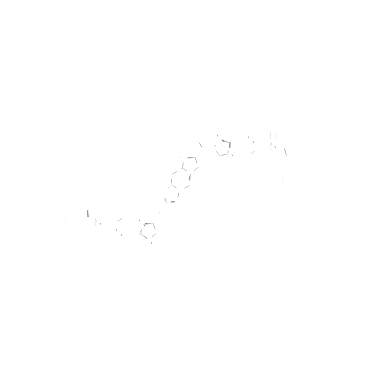 COC(=O)NC(C(=O)N1CCCC1c1ncc(C(=O)c2cc3cc4cc(C(C)(C)c5cnc(C6CCCN6C(=O)[C@@H](NC(=O)OC)C(C)C)[nH]5)oc4cc3o2)[nH]1)C(C)C